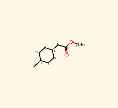 CC(C)(C)OC(=O)C[C@H]1CC[C@@H](C)CC1